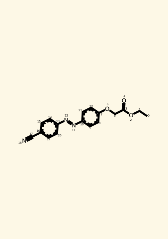 CCOC(=O)COc1ccc(/N=N/c2ccc(C#N)cc2)cc1